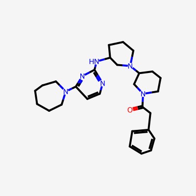 O=C(Cc1ccccc1)N1CCCC(N2CCCC(Nc3nccc(N4CCCCCC4)n3)C2)C1